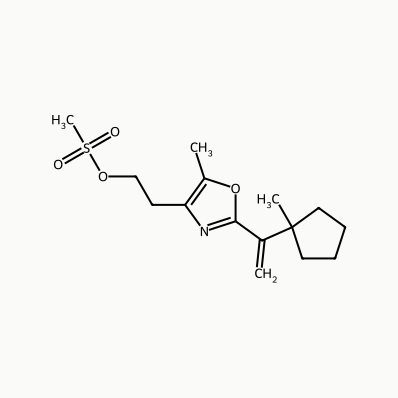 C=C(c1nc(CCOS(C)(=O)=O)c(C)o1)C1(C)CCCC1